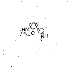 CN[C@@H]1CCN(c2ncnc3c2OCC[C@H](C(C)C)N3)C1